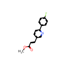 COC(=O)C=Cc1ccc(-c2ccc(F)cc2)nc1